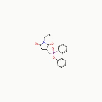 CCN1C(=O)CC(CP2(=O)Oc3ccccc3-c3ccccc32)C1=O